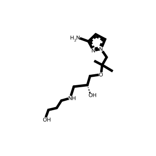 CC(C)(Cn1ccc(N)n1)OC[C@H](O)CNCCCO